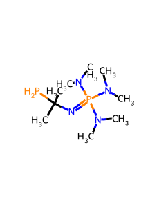 CN(C)P(=NC(C)(C)P)(N(C)C)N(C)C